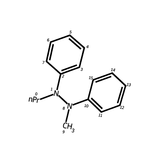 CCCN(c1ccccc1)N(C)c1ccccc1